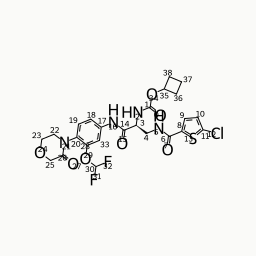 O=C(N[C@@H](CNC(=O)c1ccc(Cl)s1)C(=O)Nc1ccc(N2CCOCC2=O)c(OC(F)F)c1)OC1CCC1